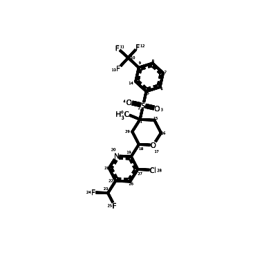 CC1(S(=O)(=O)c2cccc(C(F)(F)F)c2)CCOC(c2ncc(C(F)F)cc2Cl)C1